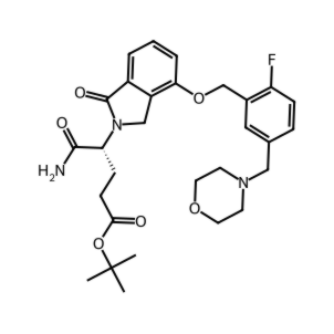 CC(C)(C)OC(=O)CC[C@H](C(N)=O)N1Cc2c(OCc3cc(CN4CCOCC4)ccc3F)cccc2C1=O